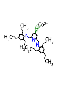 CCCc1cc(CCC)c(N=Cc2cc(Cl)cc(C=Nc3c(CCC)cc(CCC)cc3CCC)n2)c(CCC)c1.[Cl-].[Cl-].[Co+2]